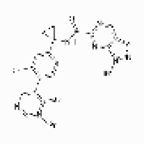 CC(C)n1cncc(-c2ccc(C3(NC(=O)c4ncc5cnn(C(C)C)c5n4)CC3)cc2Cl)c1=O